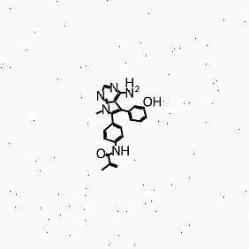 C=C(C)C(=O)Nc1ccc(-c2c(-c3cccc(O)c3)c3c(N)ncnc3n2C)cc1